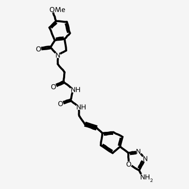 COc1ccc2c(c1)C(=O)N(CCC(=O)NC(=O)NCC#Cc1ccc(-c3nnc(N)o3)cc1)C2